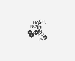 C=CC(O)N1CCN(c2nc(OC[C@@H]3CCCN3C(C)C)nc3c2CCN(c2cccc4ccccc24)C3)CC1CC#N